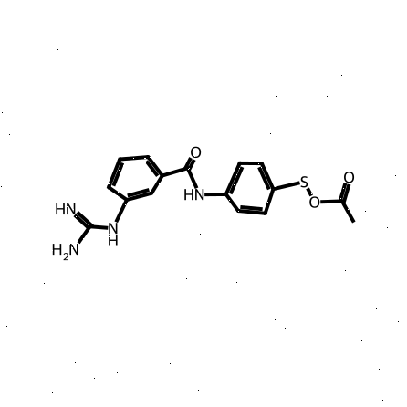 CC(=O)OSc1ccc(NC(=O)c2cccc(NC(=N)N)c2)cc1